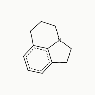 c1cc2c3c(c1)CCN3CCC2